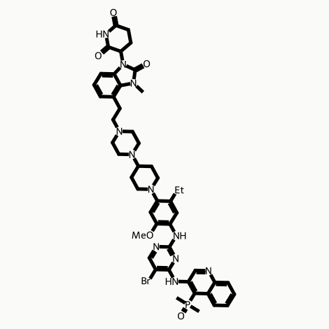 CCc1cc(Nc2ncc(Br)c(Nc3cnc4ccccc4c3P(C)(C)=O)n2)c(OC)cc1N1CCC(N2CCN(CCc3cccc4c3n(C)c(=O)n4C3CCC(=O)NC3=O)CC2)CC1